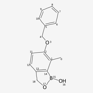 Cc1c(OCc2ccccc2)ccc2c1B(O)OC2